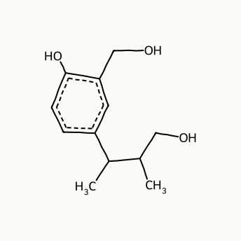 CC(CO)C(C)c1ccc(O)c(CO)c1